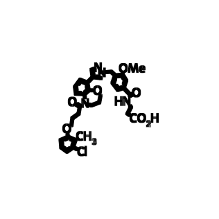 COc1cc(C(=O)NCCC(=O)O)ccc1Cn1cc(-c2cccc3c2OCCCN3C(=O)CCCOc2cccc(Cl)c2C)cn1